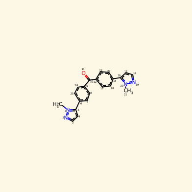 Cn1nccc1-c1ccc(C(=O)c2ccc(-c3ccnn3C)cc2)cc1